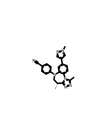 Cc1nnc2n1-c1ccc(-c3cnn(C)c3)cc1N(c1ccc(C#N)cc1)C[C@H]2C